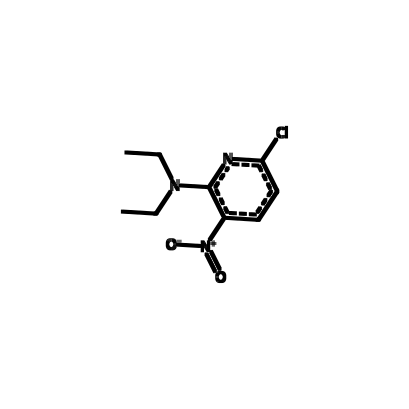 CCN(CC)c1nc(Cl)ccc1[N+](=O)[O-]